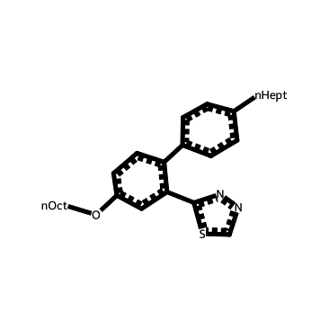 CCCCCCCCOc1ccc(-c2ccc(CCCCCCC)cc2)c(-c2nncs2)c1